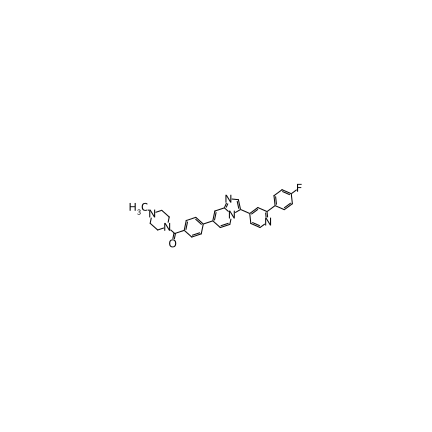 CN1CCN(C(=O)c2ccc(-c3ccn4c(-c5ccnc(-c6ccc(F)cc6)c5)cnc4c3)cc2)CC1